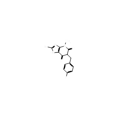 CN1C(=O)C(Cc2ccc(F)cc2)C(=O)c2[nH]c(Br)nc21